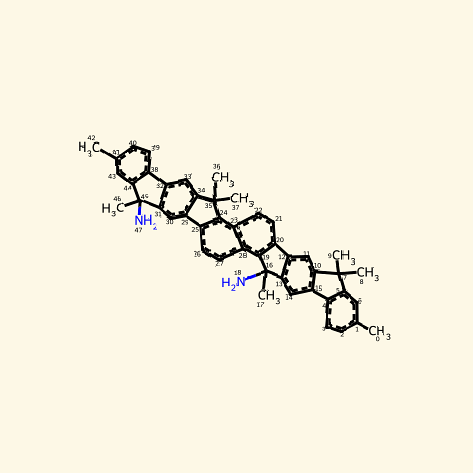 Cc1ccc2c(c1)C(C)(C)c1cc3c(cc1-2)C(C)(N)c1c-3ccc2c3c(ccc12)-c1cc2c(cc1C3(C)C)-c1ccc(C)cc1C2(C)N